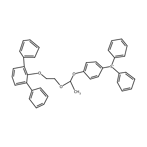 CC(OCCOc1c(-c2ccccc2)cccc1-c1ccccc1)Oc1ccc([S+](c2ccccc2)c2ccccc2)cc1